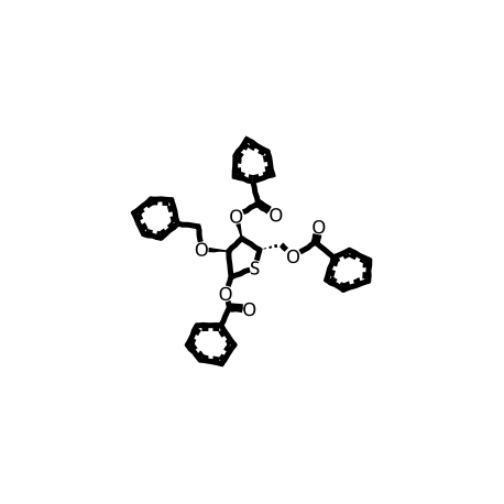 O=C(OC[C@@H]1SC(OC(=O)c2ccccc2)[C@@H](OCc2ccccc2)[C@H]1OC(=O)c1ccccc1)c1ccccc1